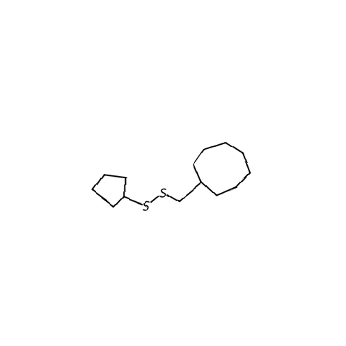 C1CCCC(CSSC2CCCC2)CCC1